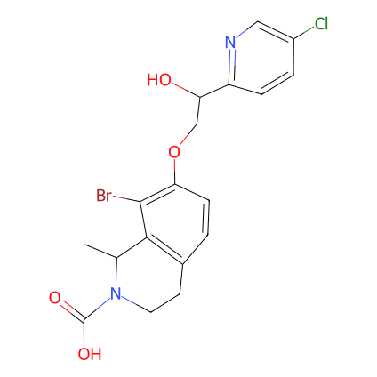 CC1c2c(ccc(OCC(O)c3ccc(Cl)cn3)c2Br)CCN1C(=O)O